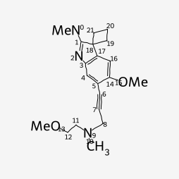 CNC1=Nc2cc(C#CCN(C)CCOC)c(OC)cc2C12CCC2